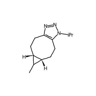 CC1[C@H]2CCc3c(nnn3C(C)C)CC[C@@H]12